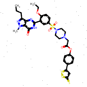 CCCc1nn(C)c2c(=O)[nH]c(-c3cc(S(=O)(=O)N4CCN(CC(=O)Oc5ccc(-c6cc(=S)ss6)cc5)CC4)ccc3OCC)nc12